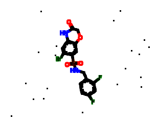 O=C1COc2cc(S(=O)(=O)NCc3ccc(F)cc3F)c(Br)cc2N1